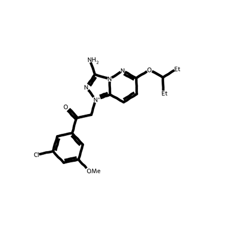 CCC(CC)Oc1ccc2n(n1)c(N)n[n+]2CC(=O)c1cc(Cl)cc(OC)c1